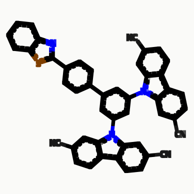 N#Cc1ccc2c3ccc(C#N)cc3n(-c3cc(-c4ccc(-c5nc6ccccc6s5)cc4)cc(-n4c5cc(C#N)ccc5c5ccc(C#N)cc54)c3)c2c1